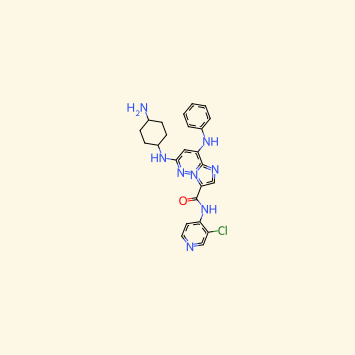 NC1CCC(Nc2cc(Nc3ccccc3)c3ncc(C(=O)Nc4ccncc4Cl)n3n2)CC1